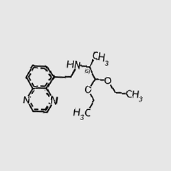 CCOC(OCC)[C@H](C)NCc1cccc2nccnc12